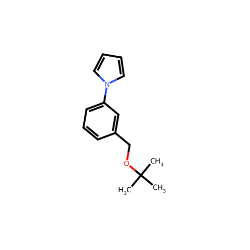 CC(C)(C)OCc1cccc(-n2cccc2)c1